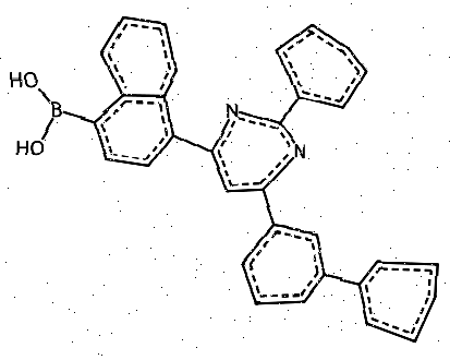 OB(O)c1ccc(-c2cc(-c3cccc(-c4ccccc4)c3)nc(-c3ccccc3)n2)c2ccccc12